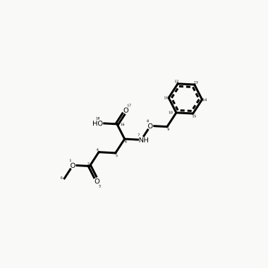 COC(=O)CCC(NOCc1ccccc1)C(=O)O